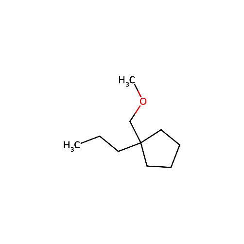 CCCC1(COC)CCCC1